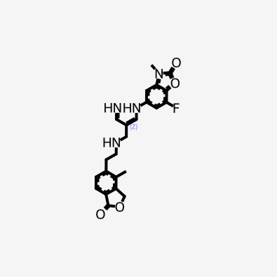 Cc1c(CCNC/C(C=N)=C/Nc2cc(F)c3oc(=O)n(C)c3c2)ccc2c1COC2=O